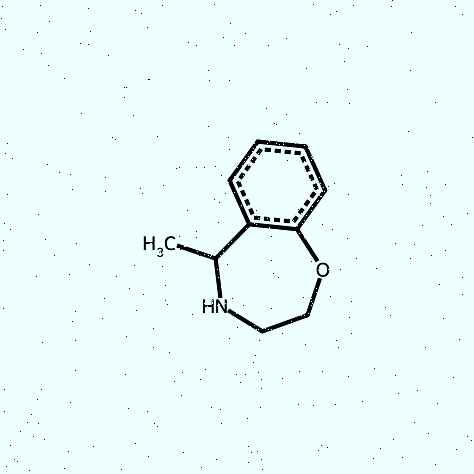 CC1NCCOc2ccccc21